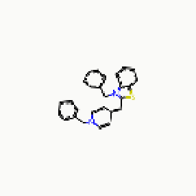 C1=CN(Cc2ccccc2)C=CC1=Cc1sc2ccccc2[n+]1Cc1ccccc1